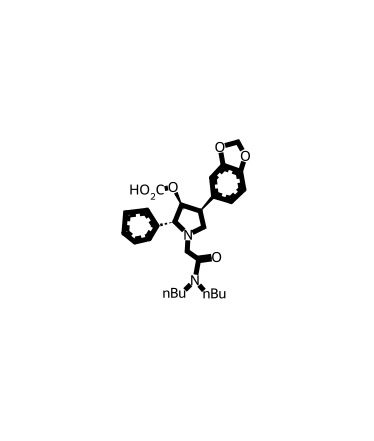 CCCCN(CCCC)C(=O)CN1C[C@H](c2ccc3c(c2)OCO3)[C@H](OC(=O)O)[C@H]1c1ccccc1